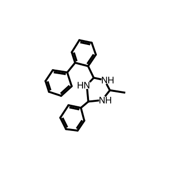 CC1NC(c2ccccc2)NC(c2ccccc2-c2ccccc2)N1